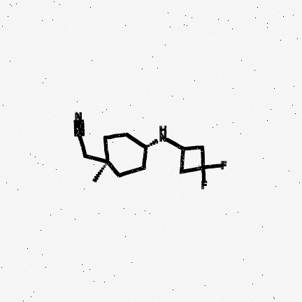 C[C@]1(CC#N)CC[C@H](NC2CC(F)(F)C2)CC1